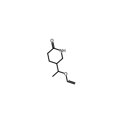 C=COC(C)C1CCC(=O)NC1